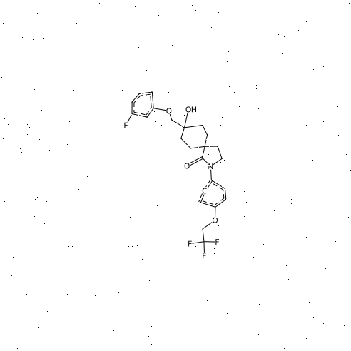 O=C1N(c2ccc(OCC(F)(F)F)cc2)CCC12CCC(O)(COc1cccc(F)c1)CC2